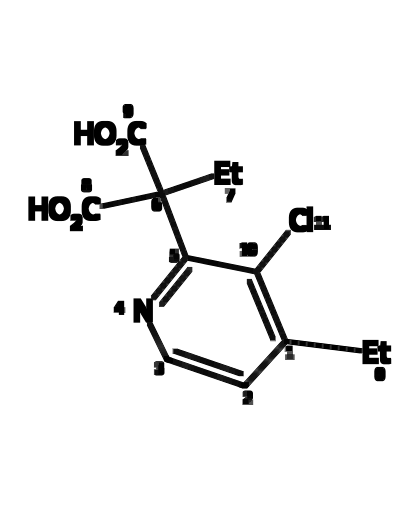 CCc1ccnc(C(CC)(C(=O)O)C(=O)O)c1Cl